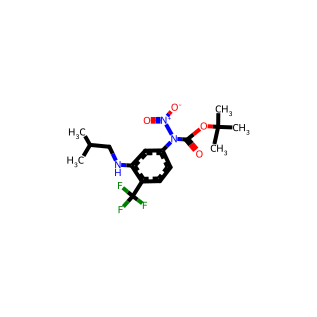 CC(C)CNc1cc(N(C(=O)OC(C)(C)C)[N+](=O)[O-])ccc1C(F)(F)F